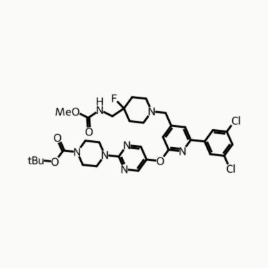 COC(=O)NCC1(F)CCN(Cc2cc(Oc3cnc(N4CCN(C(=O)OC(C)(C)C)CC4)nc3)nc(-c3cc(Cl)cc(Cl)c3)c2)CC1